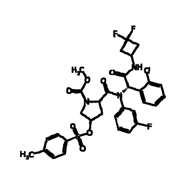 COC(=O)N1CC(OS(=O)(=O)c2ccc(C)cc2)CC1C(=O)N(c1cccc(F)c1)[C@H](C(=O)NC1CC(F)(F)C1)c1ccccc1Cl